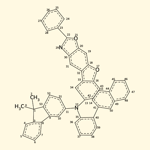 CC1(C)c2ccccc2-c2cc(N(c3ccc4oc5cc6oc(-c7ccccc7)nc6cc5c4c3)c3ccccc3-c3ccc4ccccc4c3)ccc21